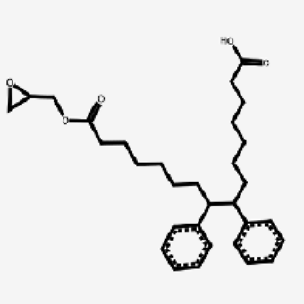 O=C(O)CCCCCCC(c1ccccc1)C(CCCCCCC(=O)OCC1CO1)c1ccccc1